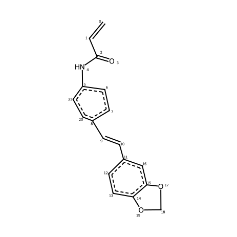 C=CC(=O)Nc1ccc(/C=C/c2ccc3c(c2)OCO3)cc1